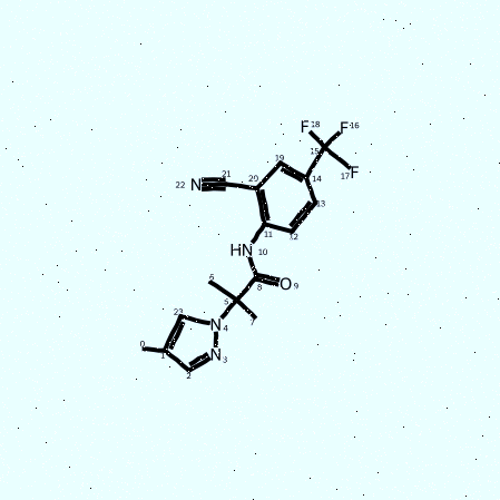 Cc1cnn(C(C)(C)C(=O)Nc2ccc(C(F)(F)F)cc2C#N)c1